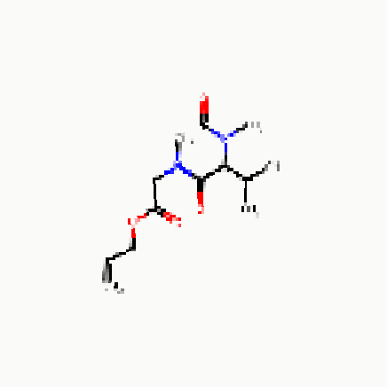 C=CCOC(=O)CN(C)C(=O)C(C(C)C)N(C)C=O